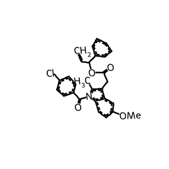 C=CC(OC(=O)Cc1c(C)n(C(=O)c2ccc(Cl)cc2)c2ccc(OC)cc12)c1ccccc1